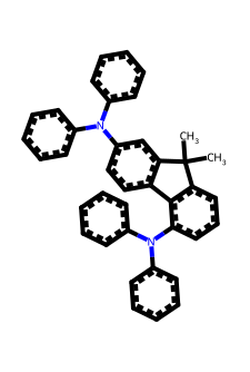 CC1(C)c2cc(N(c3ccccc3)c3ccccc3)ccc2-c2c(N(c3ccccc3)c3ccccc3)cccc21